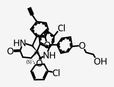 C#Cc1ccc(Oc2ccc(OCCO)cc2)c(C2NC(=O)C[C@@H](C3C=CC=C(Cl)C3)[C@]23C(=O)Nc2cc(Cl)ccc23)c1